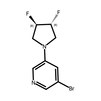 F[C@@H]1CN(c2cncc(Br)c2)C[C@H]1F